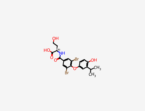 CC(C)c1cc(Oc2c(Br)cc(C(=O)N[C@H](CCO)C(=O)O)cc2Br)ccc1O